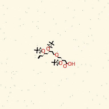 C=CC[C@@H](C[C@@H](CCOCC[C@H](CC(=O)O)O[Si](C)(C)C(C)(C)C)O[Si](C)(C)C(C)(C)C)O[Si](C)(C)C(C)(C)C